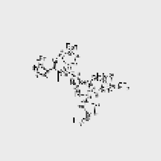 CCn1nccc1C(=O)N[C@H](c1cn2nc(C[C@H]3C[C@@H](C(F)(F)F)CNC3=O)c(C3CCN(C)C3)nc2n1)C1CCC(F)(F)CC1